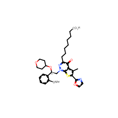 COc1ccccc1[C@H](Cn1nc(CCCCCCCC(=O)O)c(=O)c2c(C)c(-c3ncco3)sc21)OC1CCOCC1